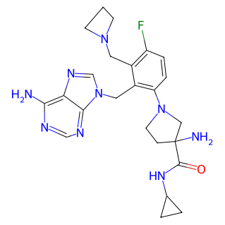 Nc1ncnc2c1ncn2Cc1c(N2CCC(N)(C(=O)NC3CC3)C2)ccc(F)c1CN1CCC1